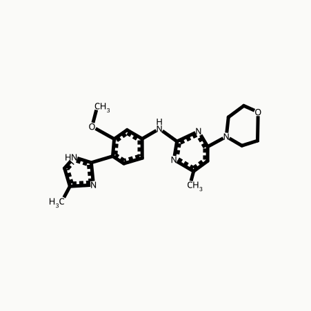 COc1cc(Nc2nc(C)cc(N3CCOCC3)n2)ccc1-c1nc(C)c[nH]1